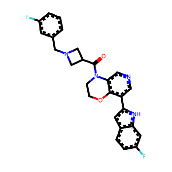 O=C(C1CN(Cc2cccc(F)c2)C1)N1CCOc2c(-c3cc4ccc(F)cc4[nH]3)cncc21